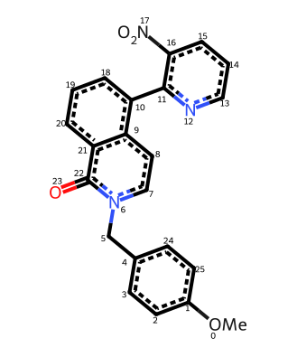 COc1ccc(Cn2ccc3c(-c4ncccc4[N+](=O)[O-])cccc3c2=O)cc1